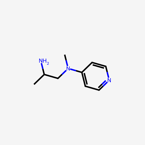 CC(N)CN(C)c1ccncc1